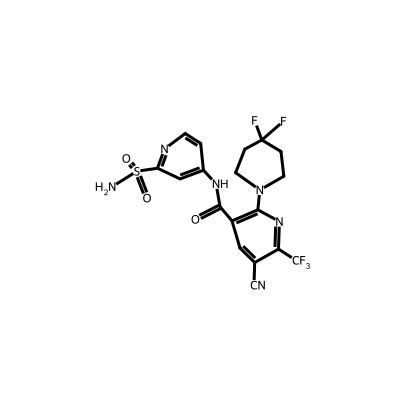 N#Cc1cc(C(=O)Nc2ccnc(S(N)(=O)=O)c2)c(N2CCC(F)(F)CC2)nc1C(F)(F)F